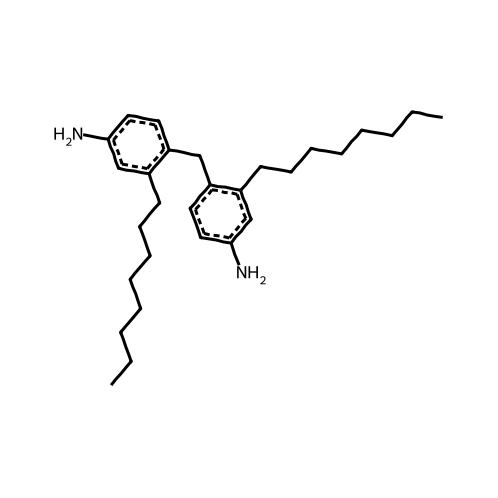 CCCCCCCCc1cc(N)ccc1Cc1ccc(N)cc1CCCCCCCC